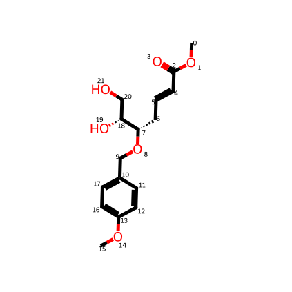 COC(=O)/C=C/C[C@H](OCc1ccc(OC)cc1)[C@H](O)CO